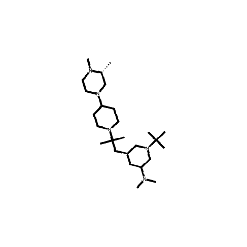 C[C@@H]1CN(C2CCN(C(C)(C)CC3CC(N(C)C)CN(C(C)(C)C)C3)CC2)CCN1C